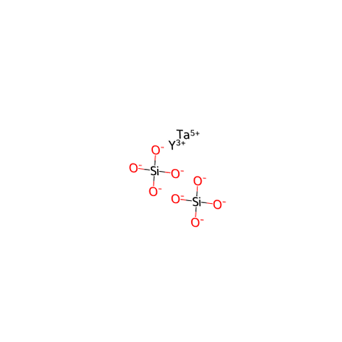 [O-][Si]([O-])([O-])[O-].[O-][Si]([O-])([O-])[O-].[Ta+5].[Y+3]